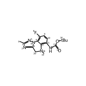 Cc1nc2n(n1)-c1c(F)ccc(NC(=O)OC(C)(C)C)c1N(C)C2